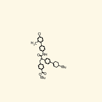 Cc1cc(Cl)ccc1-c1ccc(NC(=O)[C@H](Cc2ccc(C(=O)OC(C)(C)C)cc2)c2ccc(C3=CCC(C(C)(C)C)CC3)cc2)cc1